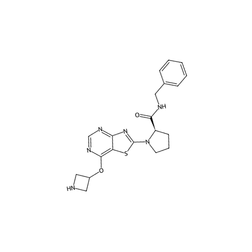 O=C(NCc1ccccc1)[C@H]1CCCN1c1nc2ncnc(OC3CNC3)c2s1